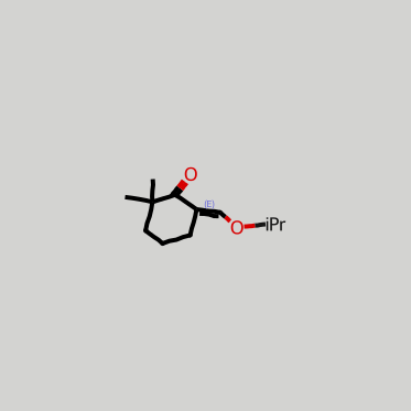 CC(C)O/C=C1\CCCC(C)(C)C1=O